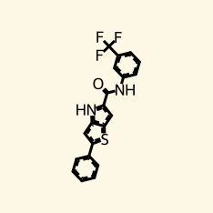 O=C(Nc1cccc(C(F)(F)F)c1)c1cc2sc(-c3ccccc3)cc2[nH]1